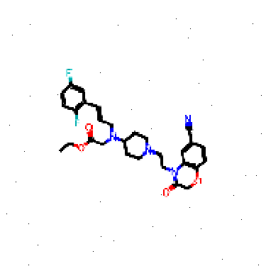 CCOC(=O)CN(CC=Cc1cc(F)ccc1F)C1CCN(CCN2C(=O)COc3ccc(C#N)cc32)CC1